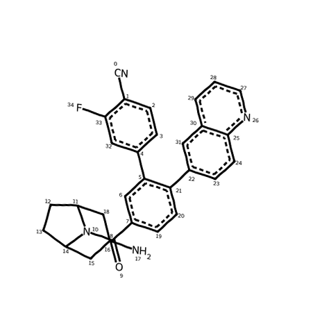 N#Cc1ccc(-c2cc(C(=O)N3C4CCC3CC(N)C4)ccc2-c2ccc3ncccc3c2)cc1F